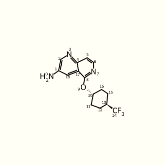 Nc1cnc2ccnc(O[C@H]3CC[C@H](C(F)(F)F)CC3)c2c1